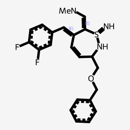 CN/C=C1\C(=C\c2ccc(F)c(F)c2)C=CC(COCc2ccccc2)NS1=N